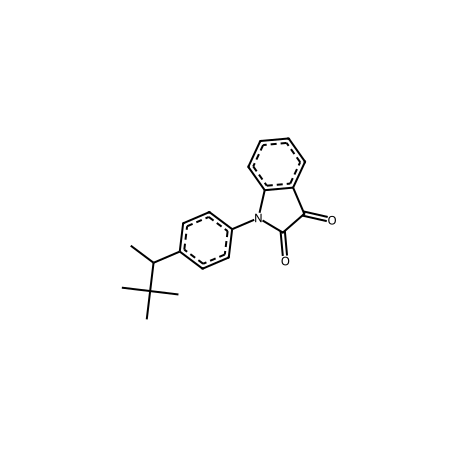 CC(c1ccc(N2C(=O)C(=O)c3ccccc32)cc1)C(C)(C)C